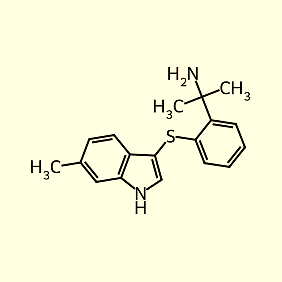 Cc1ccc2c(Sc3ccccc3C(C)(C)N)c[nH]c2c1